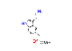 COC(=O)Cc1ccc2[nH]cc(CCN(C)C)c2c1